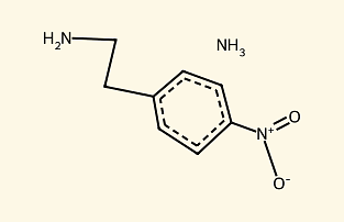 N.NCCc1ccc([N+](=O)[O-])cc1